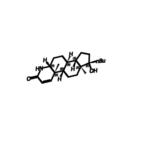 CCCC[C@]1(O)CC[C@H]2[C@@H]3CC[C@H]4NC(=O)C=C[C@]4(C)[C@H]3CC[C@@]21C